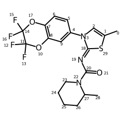 Cc1cn(-c2ccc3c(c2)OC(F)(F)C(F)(F)O3)c(=NC(=O)N2CCCCC2C)s1